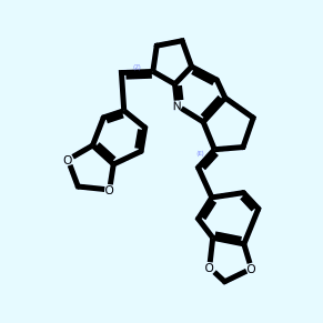 C(=C1\CCc2cc3c(nc21)/C(=C/c1ccc2c(c1)OCO2)CC3)/c1ccc2c(c1)OCO2